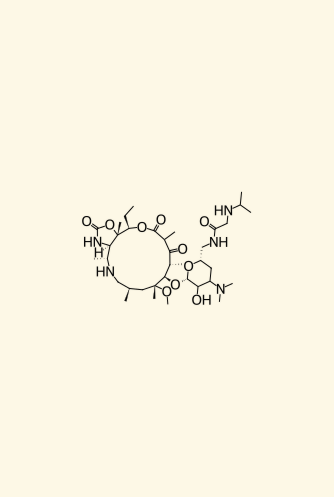 CC[C@H]1OC(=O)C(C)C(=O)[C@H](C)[C@@H](O[C@@H]2O[C@H](CNC(=O)CNC(C)C)CC(N(C)C)C2O)[C@](C)(OC)C[C@@H](C)CN[C@H](C)[C@H]2NC(=O)O[C@@]21C